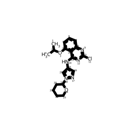 CC(C)Oc1cccc2nc(Cl)nc(Nc3cnn(C4CCCCO4)c3)c12